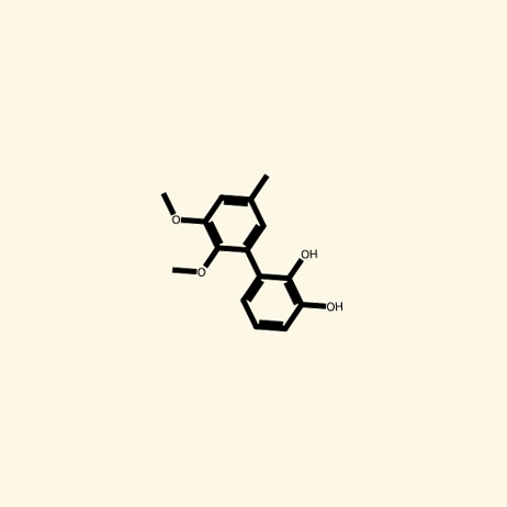 COc1cc(C)cc(-c2cccc(O)c2O)c1OC